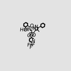 Cc1c(-c2ccccc2)nn(C)c1CC(C)(CNC(=O)c1ccccc1O)S(=O)(=O)c1ccc(C(F)(F)F)nc1